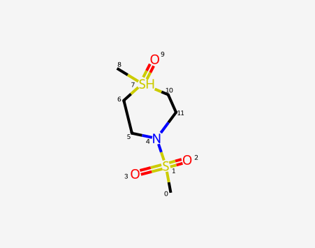 CS(=O)(=O)N1CC[SH](C)(=O)CC1